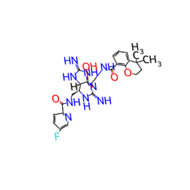 CC1(C)CCOc2c(C(=O)NC3CN4C(=N)N[C@@H](CNC(=O)c5ccc(F)cn5)[C@@H]5NC(=N)N[C@@]54[C@@H]3O)cccc21